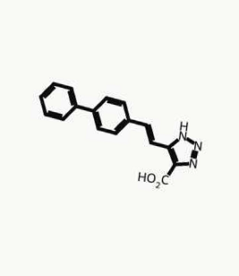 O=C(O)c1nn[nH]c1/C=C/c1ccc(-c2ccccc2)cc1